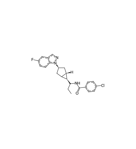 CCC(NC(=O)c1ccc(Cl)cc1)[C@H]1C2C[C@@H](n3ncc4cc(F)ccc43)C[C@@H]21